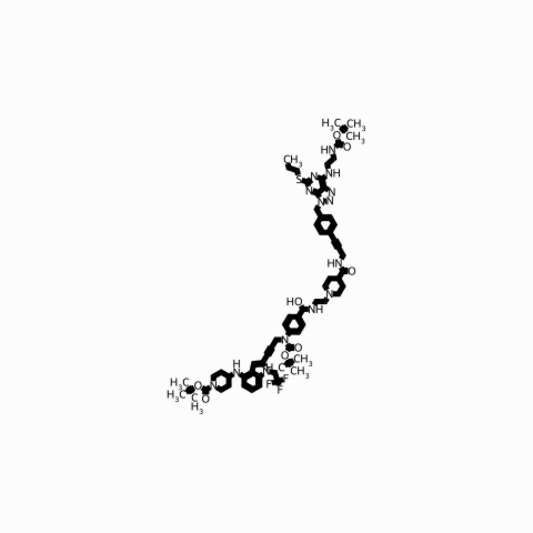 CCCSc1nc(NCCNC(=O)OC(C)(C)C)c2nnn(Cc3ccc(C#CCNC(=O)C4CCN(CCNC(O)c5ccc(N(CC#Cc6cc7c(NC8CCN(C(=O)OC(C)(C)C)CC8)cccc7n6CC(F)(F)F)C(=O)OC(C)(C)C)cc5)CC4)cc3)c2n1